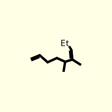 C=CCCC(C)C(C)=CCC